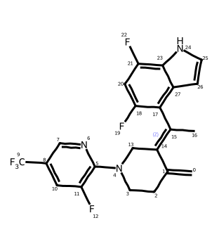 C=C1CCN(c2ncc(C(F)(F)F)cc2F)C/C1=C(/C)c1c(F)cc(F)c2[nH]ccc12